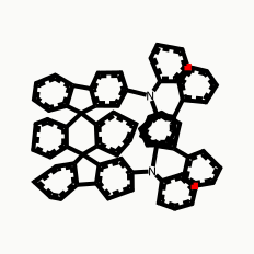 c1ccc(-c2ccccc2N(c2ccccc2)c2ccc3c(c2)C2(c4ccccc4-3)c3ccccc3C3(c4ccccc4-c4ccc(N(c5ccccc5)c5ccccc5-c5ccccc5)cc43)c3ccccc32)cc1